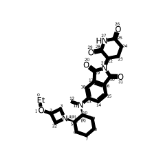 CCOC1CN([C@@H]2CCCC[C@H]2N(C)c2ccc3c(c2)C(=O)N(C2CCC(=O)NC2=O)C3=O)C1